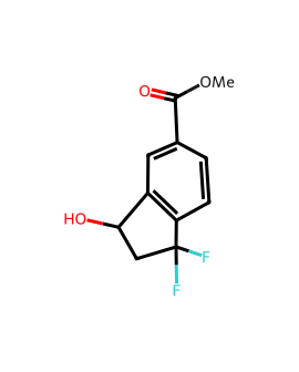 COC(=O)c1ccc2c(c1)C(O)CC2(F)F